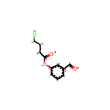 O=Cc1cccc(OC(=O)CCCCl)c1